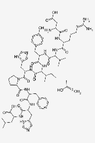 CC(=O)O.CCC(C)C(NC(=O)C(Cc1ccc(O)cc1)NC(=O)C(NC(=O)C(CCCN=C(N)N)NC(=O)C(N)CC(=O)O)C(C)C)C(=O)NC(Cc1cnc[nH]1)C(=O)N1CCCC1C(=O)NC(Cc1ccccc1)C(=O)NC(Cc1cnc[nH]1)C(=O)NC(CC(C)C)C(=O)O.O